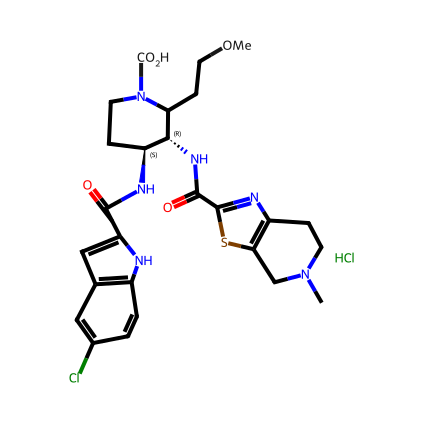 COCCC1[C@H](NC(=O)c2nc3c(s2)CN(C)CC3)[C@@H](NC(=O)c2cc3cc(Cl)ccc3[nH]2)CCN1C(=O)O.Cl